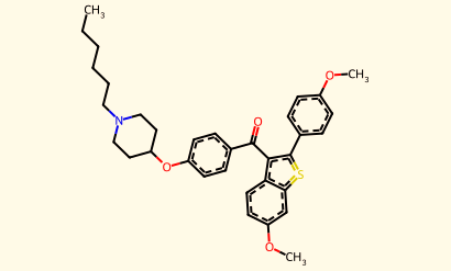 CCCCCCN1CCC(Oc2ccc(C(=O)c3c(-c4ccc(OC)cc4)sc4cc(OC)ccc34)cc2)CC1